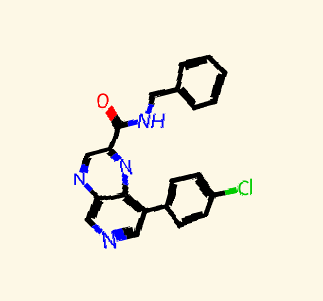 O=C(NCc1ccccc1)c1cnc2cncc(-c3ccc(Cl)cc3)c2n1